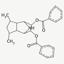 CC1CC(C)C2C3NC(C(OC(=O)c4ccccc4)C3OC(=O)c3ccccc3)C12